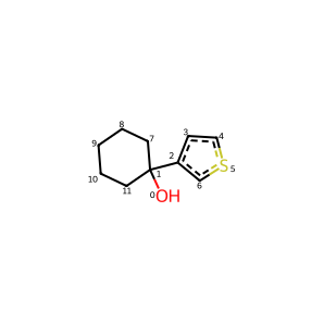 OC1(c2ccsc2)CCCCC1